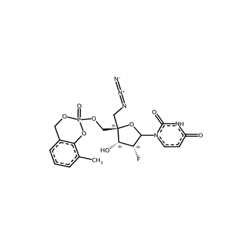 Cc1cccc2c1OP(=O)(OC[C@@]1(CN=[N+]=[N-])OC(n3ccc(=O)[nH]c3=O)[C@H](F)[C@@H]1O)OC2